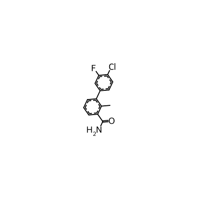 Cc1c(C(N)=O)cccc1-c1ccc(Cl)c(F)c1